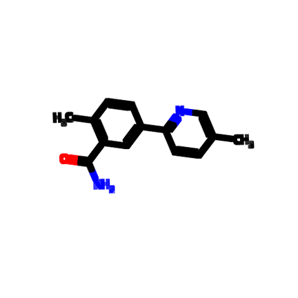 Cc1ccc(-c2ccc(C)c(C(N)=O)c2)nc1